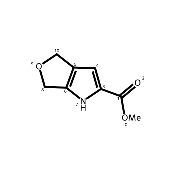 COC(=O)c1cc2c([nH]1)COC2